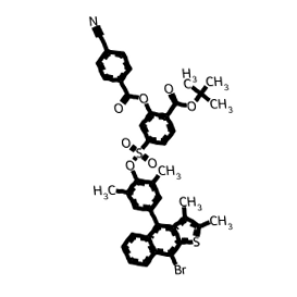 Cc1cc(-c2c3ccccc3c(Br)c3sc(C)c(C)c23)cc(C)c1OS(=O)(=O)c1ccc(C(=O)OC(C)(C)C)c(OC(=O)c2ccc(C#N)cc2)c1